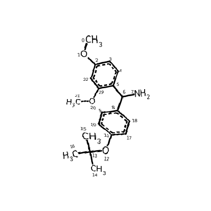 COc1ccc(C(N)c2ccc(OC(C)(C)C)cc2)c(OC)c1